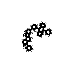 C1=CCCC(c2c3ccccc3c(-c3cccc(-c4ccc5oc6c(ccc7c6ccc6sc8ccccc8c67)c5c4)c3)c3ccccc23)=C1